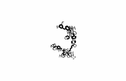 Cc1ncsc1-c1ccc(CNC(=O)C2CC(O)CN2C(=O)[C@@H](NC(=O)CCCCC(=O)N2CCN(c3ccc(C(=O)Nc4n[nH]c5ccc(Cc6cc(F)cc(F)c6)cc45)c(NC4CCOCC4)c3)CC2)C(C)(C)C)cc1